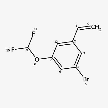 C=Cc1cc(Br)cc(OC(F)F)c1